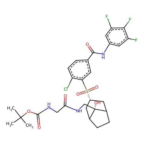 CC(C)(C)OC(=O)NCC(=O)NC[C@]1(O)C2CCC1C[C@@H](S(=O)(=O)c1cc(C(=O)Nc3cc(F)c(F)c(F)c3)ccc1Cl)C2